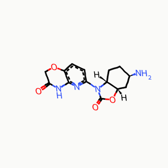 N[C@@H]1CC[C@@H]2[C@H](C1)OC(=O)N2c1ccc2c(n1)NC(=O)CO2